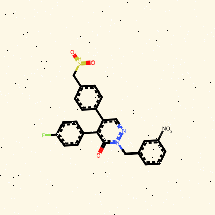 O=c1c(-c2ccc(F)cc2)c(-c2ccc(C[SH](=O)=O)cc2)cnn1Cc1cccc([N+](=O)[O-])c1